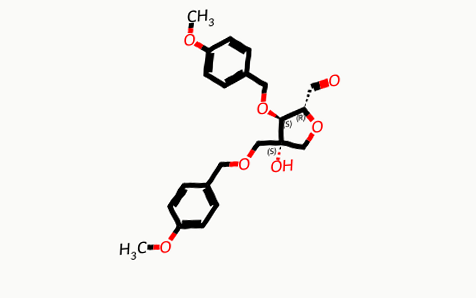 COc1ccc(COC[C@]2(O)CO[C@@H](C=O)[C@@H]2OCc2ccc(OC)cc2)cc1